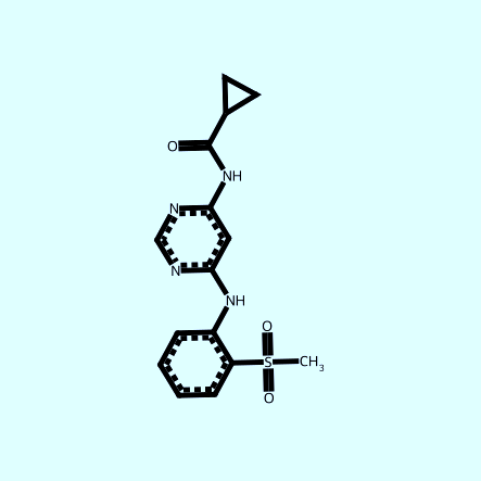 CS(=O)(=O)c1ccccc1Nc1cc(NC(=O)C2CC2)ncn1